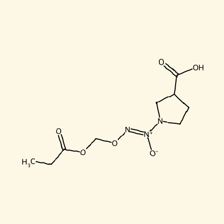 CCC(=O)OCON=[N+]([O-])N1CCC(C(=O)O)C1